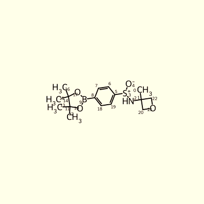 CC1(N[S+]([O-])c2ccc(B3OC(C)(C)C(C)(C)O3)cc2)COC1